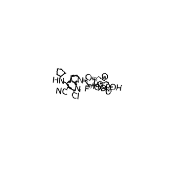 N#Cc1c(Cl)nc2c(ccn2[C@@H]2O[C@H](CS(=O)(=O)CP(=O)(O)O)[C@@H](O)[C@@H]2F)c1NC1CCCC1